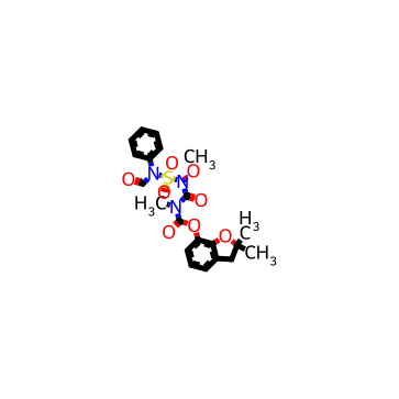 CON(C(=O)N(C)C(=O)Oc1cccc2c1OC(C)(C)C2)S(=O)(=O)N(C=O)c1ccccc1